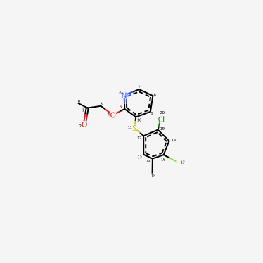 CC(=O)COc1ncccc1Sc1cc(C)c(F)cc1Cl